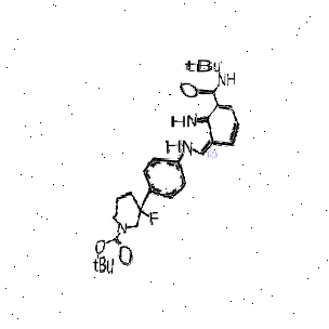 CC(C)(C)NC(=O)C1=CC=C/C(=C/Nc2ccc(C3(F)CCCN(C(=O)OC(C)(C)C)C3)cc2)C1=N